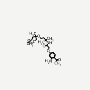 CCC(C)(CCOC)OCCC(C)(C)NC(=O)COc1ccc(C(C)=O)c(N)c1